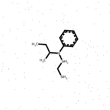 CCC(C)N([SiH2]C[SiH3])c1ccccc1